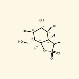 CN1[C@@H]2[C@H](O)[C@@H](O)[C@H](O)[C@@H](CO)[C@@H]2OS1(=O)=O